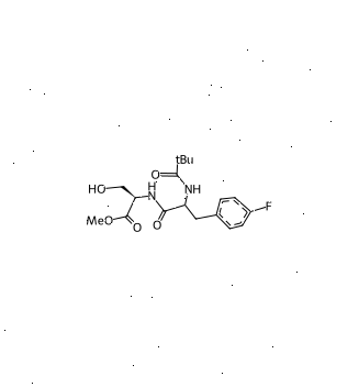 COC(=O)[C@@H](CO)NC(=O)C(Cc1ccc(F)cc1)NC(=O)C(C)(C)C